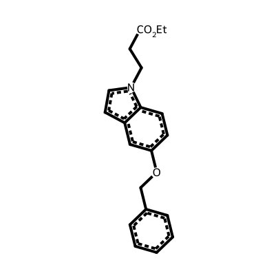 CCOC(=O)CCn1ccc2cc(OCc3ccccc3)ccc21